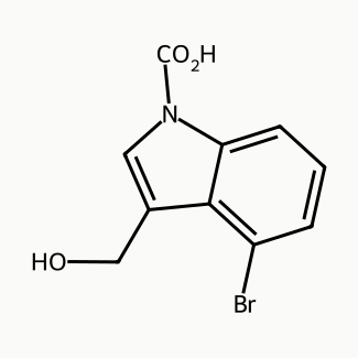 O=C(O)n1cc(CO)c2c(Br)cccc21